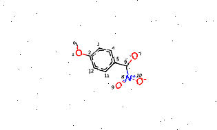 COc1ccc(C([O])[N+](=O)[O-])cc1